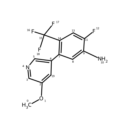 COc1cncc(-c2cc(N)c(F)cc2C(F)(F)F)c1